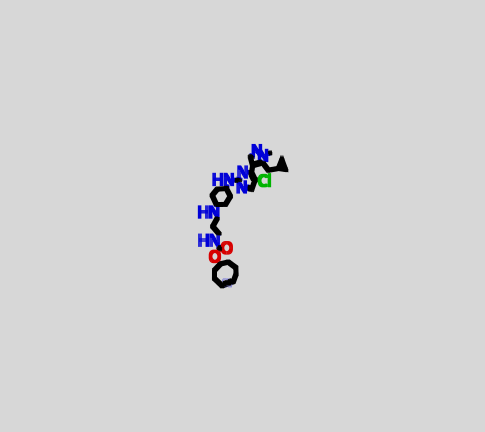 Cn1ncc(-c2nc(NC3CCC(NCCCNC(=O)OC4CC/C=C\CCC4)CC3)ncc2Cl)c1CC1CC1